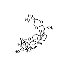 CC(C1OCC(C)(C)CO1)[C@H]1CC[C@H]2[C@@H]3C=C[C@@]45O[C@@H]4[C@@H](O)[C@@H]4O[C@@H]4[C@]5(C)[C@H]3CC[C@]12C